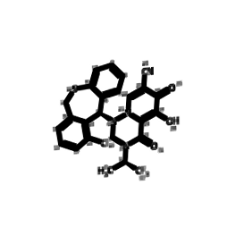 C[C@@H](N1CN([C@@H]2c3ccccc3SCc3cccc(Cl)c32)n2cc(C#N)c(=O)c(O)c2C1=O)C(F)(F)F